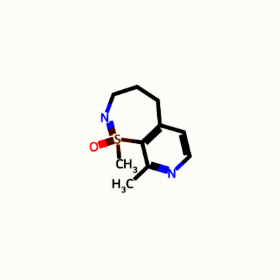 Cc1nccc2c1S(C)(=O)=NCCC2